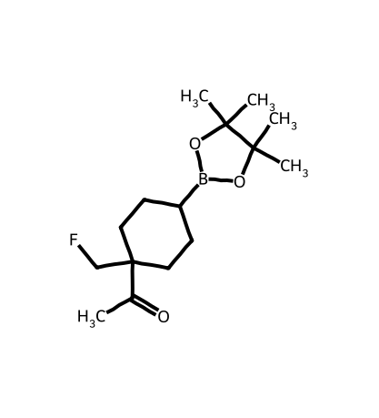 CC(=O)C1(CF)CCC(B2OC(C)(C)C(C)(C)O2)CC1